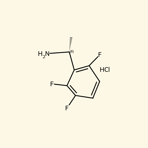 C[C@@H](N)c1c(F)ccc(F)c1F.Cl